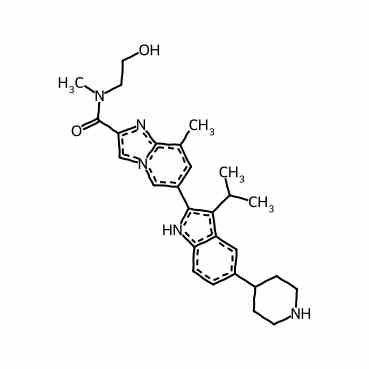 Cc1cc(-c2[nH]c3ccc(C4CCNCC4)cc3c2C(C)C)cn2cc(C(=O)N(C)CCO)nc12